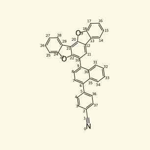 N#Cc1ccc(-c2ccc(-c3cc4c5ccccc5oc4c4c3oc3ccccc34)c3ccccc23)cc1